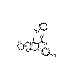 COc1ccccc1COC(=O)C1=C(C)N(C[C@H]2CCCO2)C(=O)C[C@H]1c1ccc(Cl)nc1